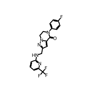 O=C1c2cc(CNc3cccc(C(F)(F)F)n3)nn2CCN1c1ccc(F)cc1